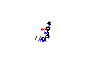 CC1(C)C[C@@H](n2ccc3cc(-c4ccc(-n5ccnn5)cc4O)nnc32)[C@@H](F)CN1